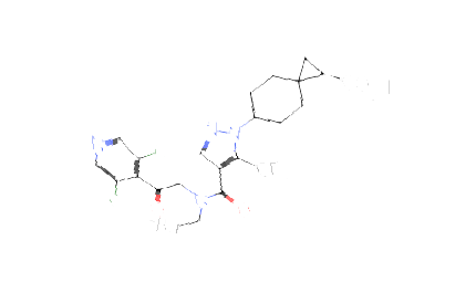 CC(C)(C)CN(CC(=O)c1c(Cl)cncc1Cl)C(=O)c1cnn(C2CCC3(CC2)C[C@H]3C(=O)O)c1C(F)(F)F